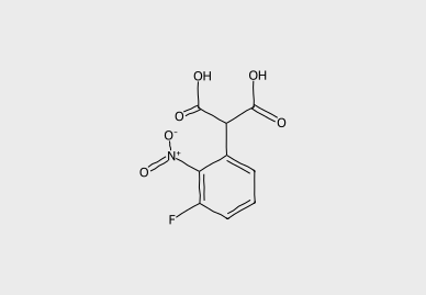 O=C(O)C(C(=O)O)c1cccc(F)c1[N+](=O)[O-]